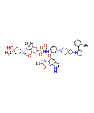 CCC(=O)Nc1nc2[nH]ccc2cc1Oc1cc(N2CCC3(CC2)CC(N2CCC[C@@H]2c2ccccc2C(C)C)C3)ccc1C(=O)NS(=O)(=O)c1cc2c(c([N+](=O)[O-])c1)N[C@@H](C1CCC(C)(O)CC1)CO2